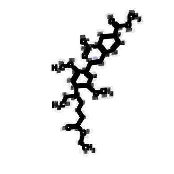 CCOC(=O)CCCN(CC)c1cc(OC)c(/C=C/c2ccc(C(=O)OC)cc2[N+](=O)[O-])cc1OC